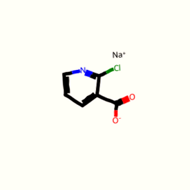 O=C([O-])c1cccnc1Cl.[Na+]